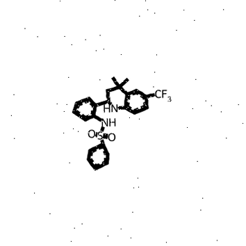 CC1(C)CC(c2ccccc2NS(=O)(=O)c2ccccc2)Nc2ccc(C(F)(F)F)cc21